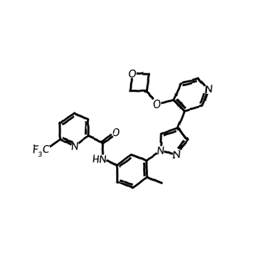 Cc1ccc(NC(=O)c2cccc(C(F)(F)F)n2)cc1-n1cc(-c2cnccc2OC2COC2)cn1